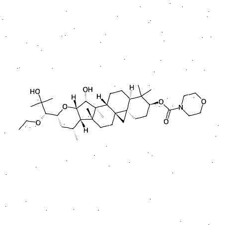 CCO[C@@H]([C@H]1C[C@@H](C)[C@@H]2[C@H](O1)[C@H](O)[C@@]1(C)[C@@H]3CC[C@H]4C(C)(C)[C@@H](OC(=O)N5CCOCC5)CC[C@@]45C[C@@]35CC[C@]21C)C(C)(C)O